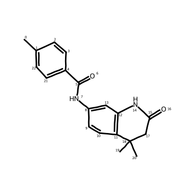 Cc1ccc(C(=O)Nc2ccc3c(c2)NC(=O)CC3(C)C)cc1